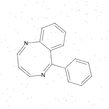 C1=CN=C(c2ccccc2)c2ccccc2N=C1